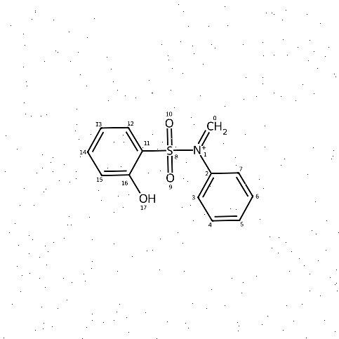 C=[N+](c1ccccc1)S(=O)(=O)c1ccccc1O